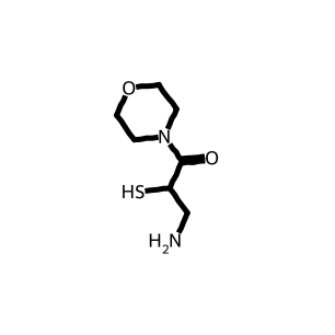 NCC(S)C(=O)N1CCOCC1